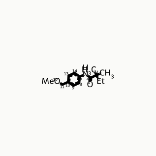 CCC(C)(C)C(=O)Nc1ccc(COC)cc1